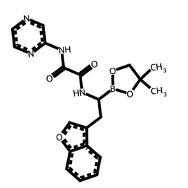 CC1(C)COB(C(Cc2coc3ccccc23)NC(=O)C(=O)Nc2cnccn2)O1